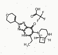 CCc1[nH]c2nn(C3=CCOCC3)nc2c(=O)c1N1CCN[C@H]2CC[C@@H]21.O=C(O)C(F)(F)F